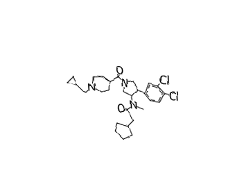 CN(C(=O)CC1CCCC1)C1CN(C(=O)C2CCN(CC3CC3)CC2)CC1c1ccc(Cl)c(Cl)c1